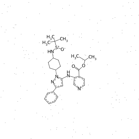 CC(C)OC(=O)c1ccncc1Nc1cc(-c2ccccc2)nn1C1CCC(N[S+]([O-])C(C)(C)C)CC1